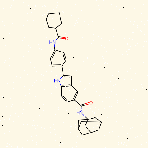 O=C(NC12CC3CC(CC(C3)C1)C2)c1ccc2[nH]c(-c3ccc(NC(=O)C4CCCCC4)cc3)cc2c1